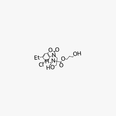 CCc1cc2oc(=O)n(CC(N)(CO)C(=O)OCCCO)c2cc1Cl